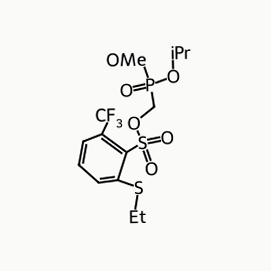 CCSc1cccc(C(F)(F)F)c1S(=O)(=O)OCP(=O)(OC)OC(C)C